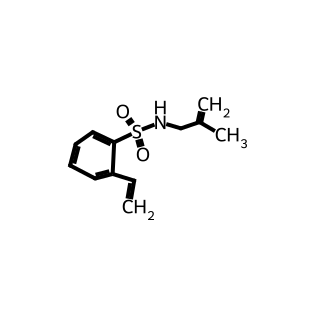 C=Cc1ccccc1S(=O)(=O)NCC(=C)C